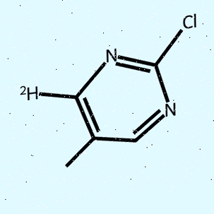 [2H]c1nc(Cl)ncc1C